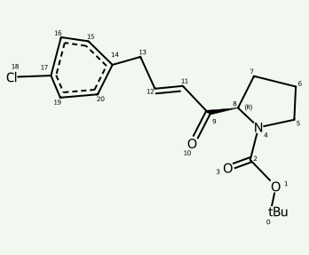 CC(C)(C)OC(=O)N1CCC[C@@H]1C(=O)C=CCc1ccc(Cl)cc1